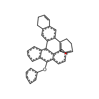 C1=CCCC(c2cc3c(cc2-c2c4ccccc4c(Oc4ccccc4)c4ccncc24)CCC=C3)=C1